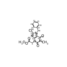 COC(=O)Cn1c(=O)n(C)c(=O)c2c1nc(Cl)n2Cc1ccccc1